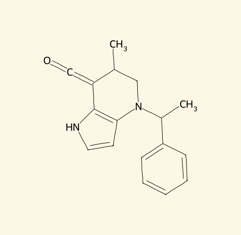 CC1CN(C(C)c2ccccc2)c2cc[nH]c2C1=C=O